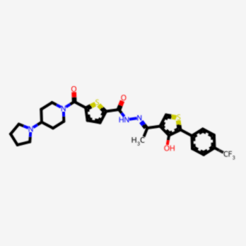 C/C(=N\NC(=O)c1ccc(C(=O)N2CCC(N3CCCC3)CC2)s1)c1csc(-c2ccc(C(F)(F)F)cc2)c1O